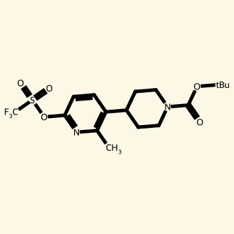 Cc1nc(OS(=O)(=O)C(F)(F)F)ccc1C1CCN(C(=O)OC(C)(C)C)CC1